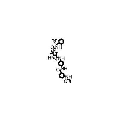 C=CC(=O)Nc1cccc(C(=O)Nc2ccc(Nc3n[nH]c4c3CN(C(=O)N[C@H](CN(C)C)c3ccccc3)C4(C)C)cc2)c1